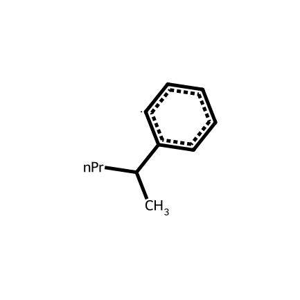 CCCC(C)c1[c]cccc1